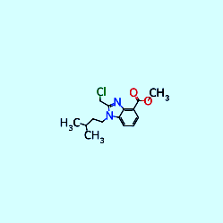 COC(=O)c1cccc2c1nc(CCl)n2CCC(C)C